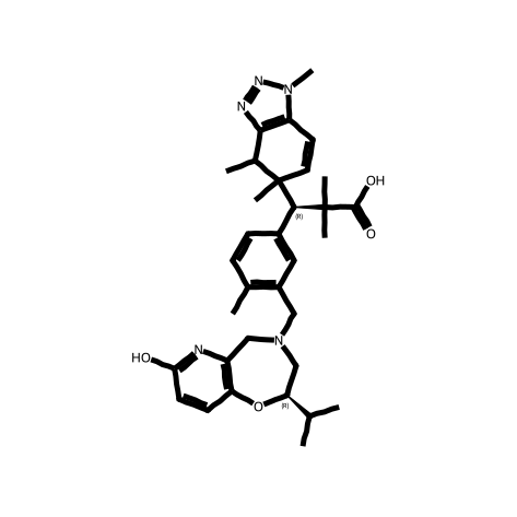 Cc1ccc([C@H](C(C)(C)C(=O)O)C2(C)C=Cc3c(nnn3C)C2C)cc1CN1Cc2nc(O)ccc2O[C@H](C(C)C)C1